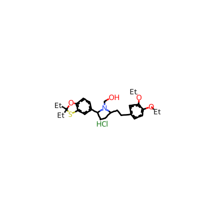 CCOc1ccc(CCC2CCC(c3ccc4c(c3)SC(CC)(CC)O4)N2CO)cc1OCC.Cl